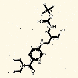 CCN(CC)C(=O)c1ccc(OC/C(=C/F)CNC(=O)OC(C)(C)C)cn1